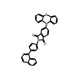 O=C1c2ccc(N3c4ccccc4Sc4ccccc43)cc2C(=O)N1c1ccc(-c2cccc3ccccc23)cc1